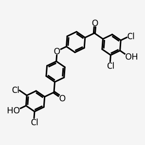 O=C(c1ccc(Oc2ccc(C(=O)c3cc(Cl)c(O)c(Cl)c3)cc2)cc1)c1cc(Cl)c(O)c(Cl)c1